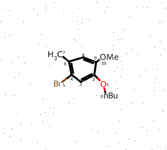 CCCCOc1cc(Br)c(C)cc1OC